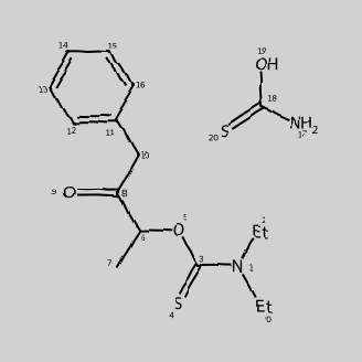 CCN(CC)C(=S)OC(C)C(=O)Cc1ccccc1.NC(O)=S